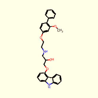 COc1cc(OCCNCC(O)COc2cccc3[nH]c4ccccc4c23)ccc1-c1ccccc1